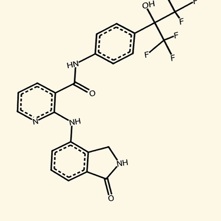 O=C(Nc1ccc(C(O)(C(F)(F)F)C(F)(F)F)cc1)c1cccnc1Nc1cccc2c1CNC2=O